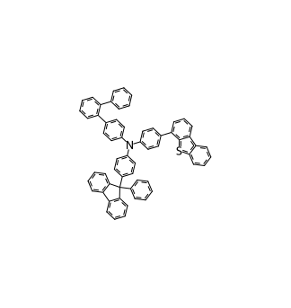 c1ccc(-c2ccccc2-c2ccc(N(c3ccc(-c4cccc5c4sc4ccccc45)cc3)c3ccc(C4(c5ccccc5)c5ccccc5-c5ccccc54)cc3)cc2)cc1